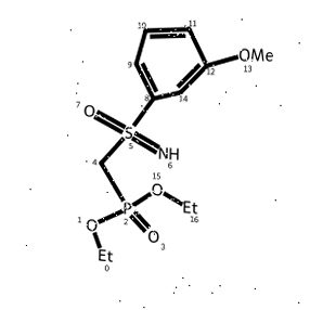 CCOP(=O)(CS(=N)(=O)c1cccc(OC)c1)OCC